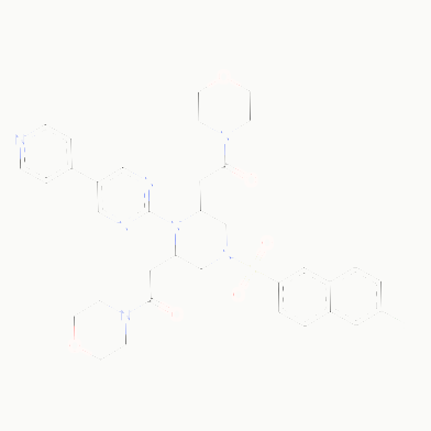 O=C(CC1CN(S(=O)(=O)c2ccc3cc(Cl)ccc3c2)CC(CC(=O)N2CCOCC2)N1c1ncc(-c2ccncc2)cn1)N1CCOCC1